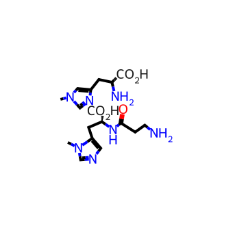 Cn1cnc(CC(N)C(=O)O)c1.Cn1cncc1C[C@H](NC(=O)CCN)C(=O)O